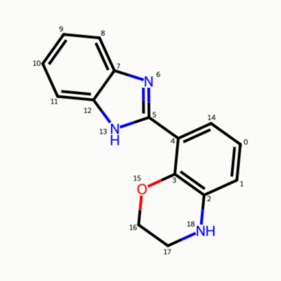 c1cc2c(c(-c3nc4ccccc4[nH]3)c1)OCCN2